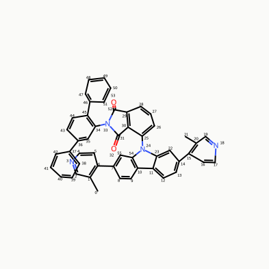 Cc1cnccc1-c1ccc2c3ccc(-c4ccncc4C)cc3n(-c3cccc4c3C(=O)N(c3cc(-c5ccccc5)ccc3-c3ccccc3)C4=O)c2c1